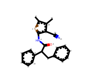 Cc1sc(NC(=O)C(Cc2ccccc2)c2ccccc2)c(C#N)c1C